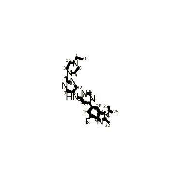 CCN1CCN(Cc2ncc(Nc3cc(-c4cc(F)c5nc(C)n(C(C)C)c5c4)ncn3)cn2)CC1